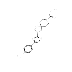 CC(C)(C)OC(=O)N1CCC2(CC1)CC(c1noc(-c3ccc(C(F)(F)F)cc3)n1)CO2